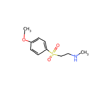 CNCCS(=O)(=O)c1ccc(OC)cc1